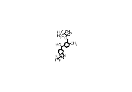 Cc1ccc(C(O)c2ccn3c(C(F)(F)F)nnc3c2)cc1COC(=O)C(C)(C)C